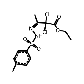 CCOC(=O)C(Cl)(Cl)C(C)=NNS(=O)(=O)c1ccc(C)cc1